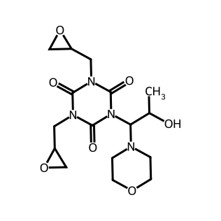 CC(O)C(N1CCOCC1)n1c(=O)n(CC2CO2)c(=O)n(CC2CO2)c1=O